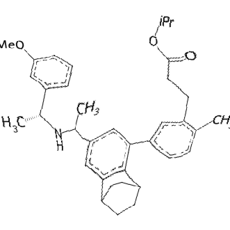 COc1cccc([C@@H](C)NC(C)c2cc(-c3ccc(C)c(CCC(=O)OC(C)C)c3)c3c(c2)C2CCC3CC2)c1